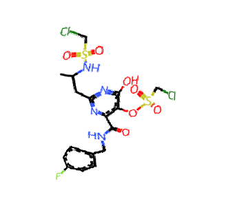 CC(Cc1nc(O)c(OS(=O)(=O)CCl)c(C(=O)NCc2ccc(F)cc2)n1)NS(=O)(=O)CCl